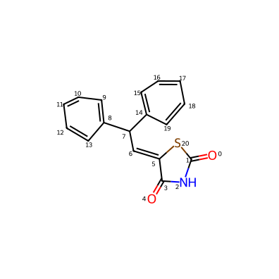 O=C1NC(=O)C(=CC(c2ccccc2)c2ccccc2)S1